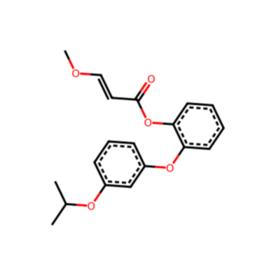 COC=CC(=O)Oc1ccccc1Oc1cccc(OC(C)C)c1